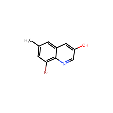 Cc1cc(Br)c2ncc(O)cc2c1